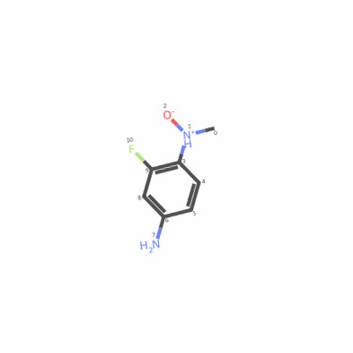 C[NH+]([O-])c1ccc(N)cc1F